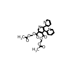 CC(=O)OCOC(=O)c1cnc(-c2ccccn2)c(-c2ccccn2)c1C(=O)OCOC(C)=O